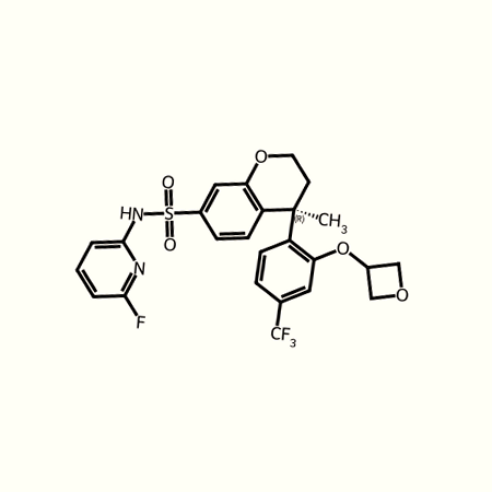 C[C@@]1(c2ccc(C(F)(F)F)cc2OC2COC2)CCOc2cc(S(=O)(=O)Nc3cccc(F)n3)ccc21